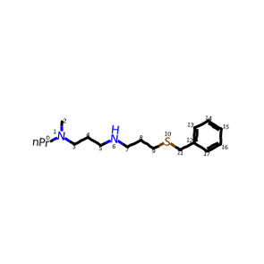 CCCN(C)CCCNCCCSCc1ccccc1